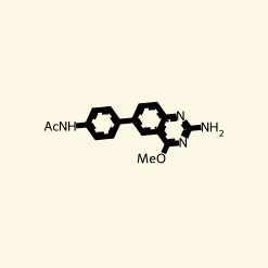 COc1nc(N)nc2ccc(-c3ccc(NC(C)=O)cc3)cc12